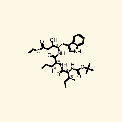 CCOC(=O)CC(O)[C@H](Cc1c[nH]c2ccccc12)NC(=O)[C@@H](NC(=O)[C@@H](NC(=O)OC(C)(C)C)[C@@H](C)CC)[C@@H](C)CC